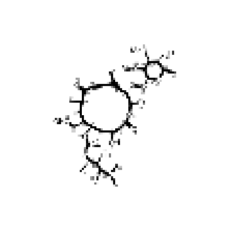 CC[C@H]1OC(=O)C[C@@H](O)[C@H](C)[C@@H](O[C@@H](C)O[C@H](C)[C@@H](O)C(O)N(C)C)[C@@H](CC=O)C[C@@H](C)C(=O)/C=C/C(C)=C/[C@@H]1CO[C@@H]1OC(C)[C@@H](O)[C@H](OC)C1OC